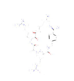 CC(C)[C@H](NN[C@@H](CCCNC(N)N)C(=O)NCc1ccc(C(=N)N)cc1)C(=O)N[C@@H](CCCNC(N)N)C(=O)C(=O)CCCCCN